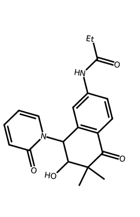 CCC(=O)Nc1ccc2c(c1)C(n1ccccc1=O)C(O)C(C)(C)C2=O